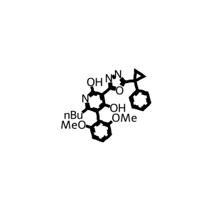 CCCCc1nc(O)c(-c2nnc(C3(c4ccccc4)CC3)o2)c(O)c1-c1c(OC)cccc1OC